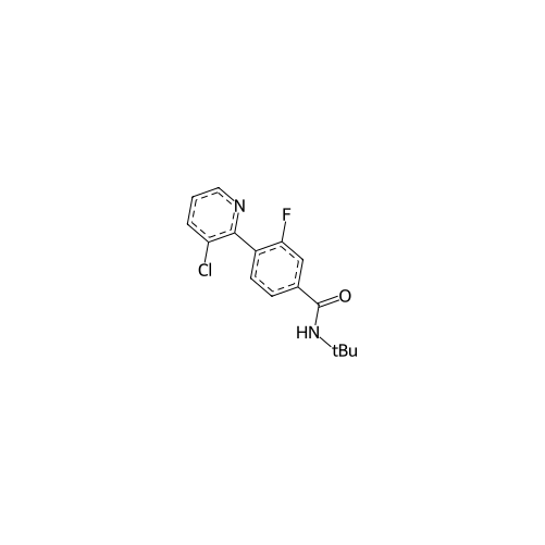 CC(C)(C)NC(=O)c1ccc(-c2ncccc2Cl)c(F)c1